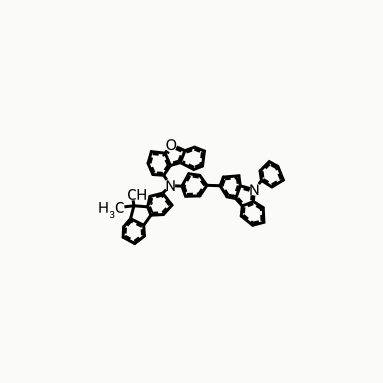 CC1(C)c2ccccc2-c2ccc(N(c3ccc(-c4ccc5c(c4)c4ccccc4n5-c4ccccc4)cc3)c3cccc4oc5ccccc5c34)cc21